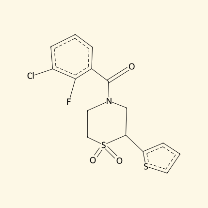 O=C(c1cccc(Cl)c1F)N1CCS(=O)(=O)C(c2cccs2)C1